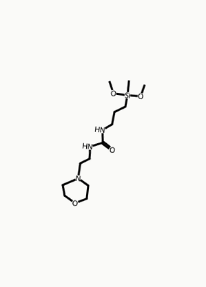 CO[Si](C)(CCCNC(=O)NCCN1CCOCC1)OC